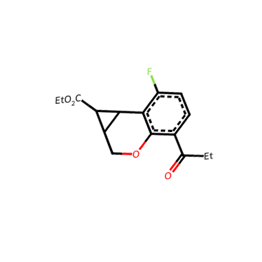 CCOC(=O)C1C2COc3c(C(=O)CC)ccc(F)c3C21